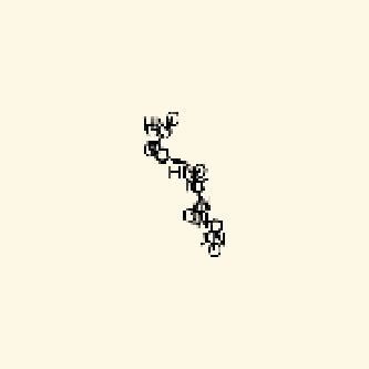 Cc1cc(-c2cc3c(cn2)N(c2cccc4c2cc(C)c(=O)n4C)CCO3)cnc1C(=O)NCC#Cc1ccc2occ(C3CCC(=O)NC3=O)c2c1